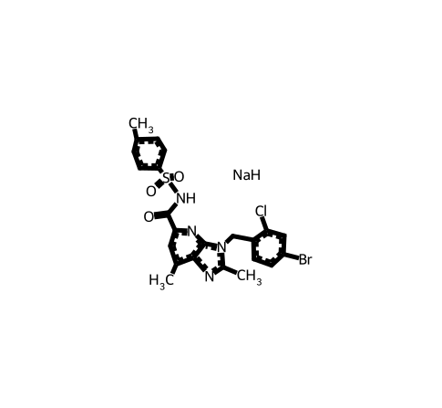 Cc1ccc(S(=O)(=O)NC(=O)c2cc(C)c3nc(C)n(Cc4ccc(Br)cc4Cl)c3n2)cc1.[NaH]